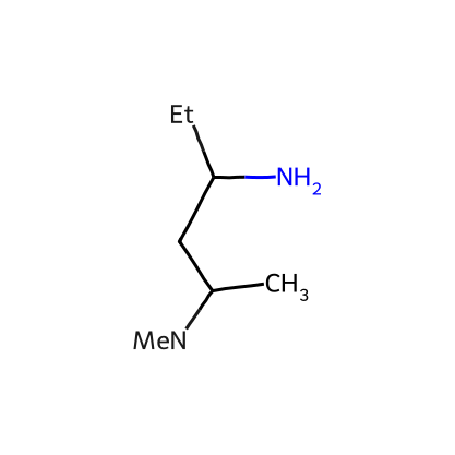 CCC(N)CC(C)NC